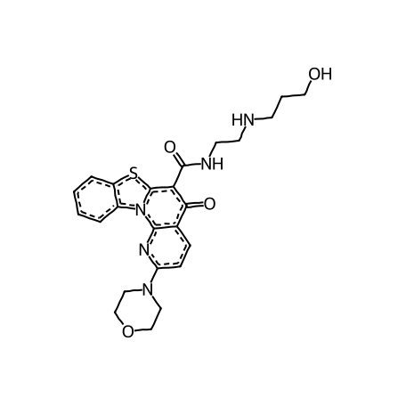 O=C(NCCNCCCO)c1c(=O)c2ccc(N3CCOCC3)nc2n2c1sc1ccccc12